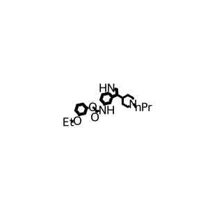 CCCN1CCC(c2c[nH]c3ccc(NC(=O)Oc4cccc(OCC)c4)cc23)CC1